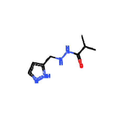 CC(C)C(=O)NNCc1ccn[nH]1